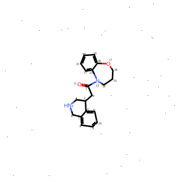 O=C(CC1CNCc2ccccc21)N1CCCOc2ccccc21